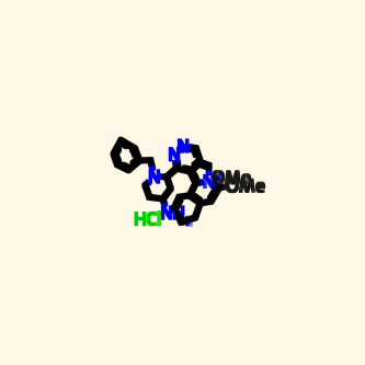 COC1=CC2=C(C=CCC2)C2=c3c(C4CC(N)CCN4Cc4ccccc4)nncc3=C[N+]12OC.Cl